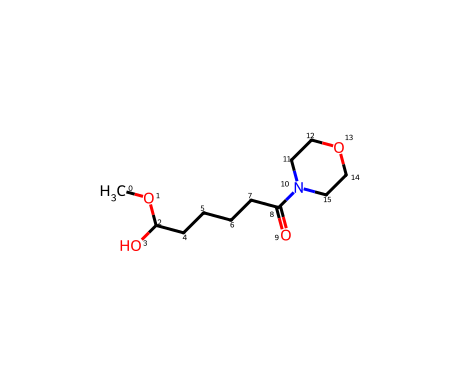 COC(O)CCCCC(=O)N1CCOCC1